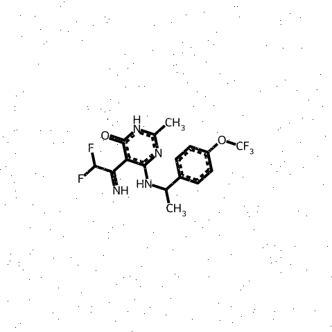 Cc1nc(NC(C)c2ccc(OC(F)(F)F)cc2)c(C(=N)C(F)F)c(=O)[nH]1